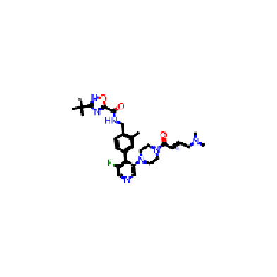 Cc1cc(-c2c(F)cncc2N2CCN(C(=O)/C=C/CN(C)C)CC2)ccc1CNC(=O)c1nc(C(C)(C)C)no1